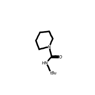 CC(C)(C)NC(=O)N1CCCCC1